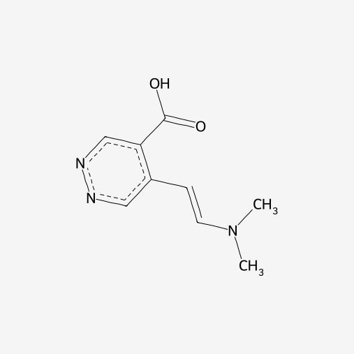 CN(C)C=Cc1cnncc1C(=O)O